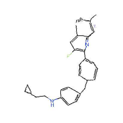 CCC/C(C)=C\c1nc(C2=CC=CC(Cc3ccc(NCCC4CC4)cc3)C=C2)c(F)cc1C